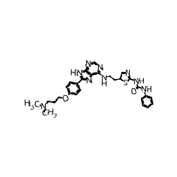 CN(C)CCCOc1ccc(-c2nc3c(NCCC4CN=C(NC(=O)Nc5ccccc5)S4)ncnc3[nH]2)cc1